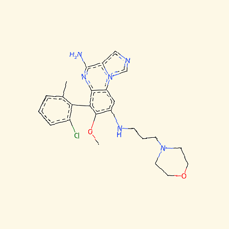 COc1c(NCCCN2CCOCC2)cc2c(nc(N)c3cncn32)c1-c1c(C)cccc1Cl